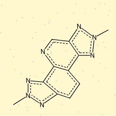 Cn1nc2cnc3c(ccc4nn(C)nc43)c2n1